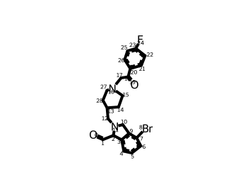 O=CC1c2cccc(Br)c2CN1CC1CCN(CC(=O)c2ccc(F)cc2)CC1